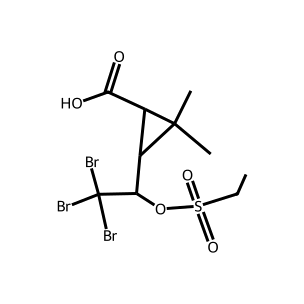 CCS(=O)(=O)OC(C1C(C(=O)O)C1(C)C)C(Br)(Br)Br